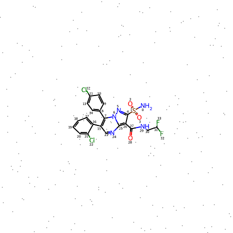 NS(=O)(=O)c1nn2c(-c3ccc(Cl)cc3)c(-c3ccccc3Cl)cnc2c1C(=O)NCC(F)F